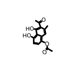 CC(=O)Oc1ccc(O)c2c(O)c(C(C)=O)c(C)cc12